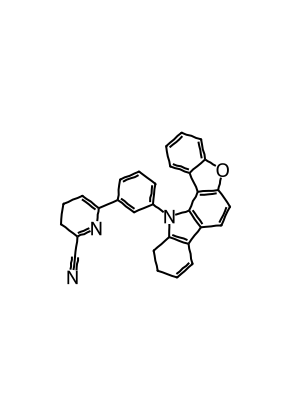 N#CC1=NC(c2cccc(-n3c4c(c5ccc6oc7ccccc7c6c53)C=CCC4)c2)=CCC1